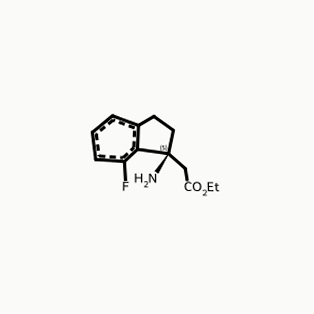 CCOC(=O)C[C@@]1(N)CCc2cccc(F)c21